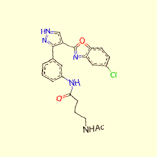 CC(=O)NCCCC(=O)Nc1cccc(-c2n[nH]cc2-c2nc3cc(Cl)ccc3o2)c1